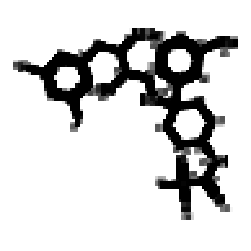 CC(=O)NC(Cc1cc(F)cc(F)c1)C(O)CNC1(c2cccc(C(C)(C)C)c2)CCC(NC(=O)S(C)(=O)=O)CC1